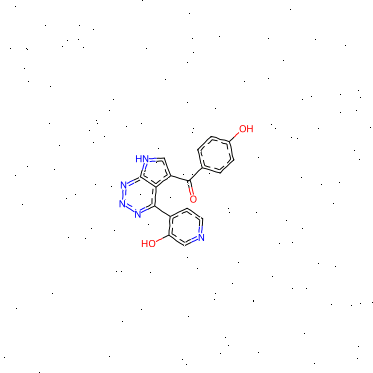 O=C(c1ccc(O)cc1)c1c[nH]c2nnnc(-c3ccncc3O)c12